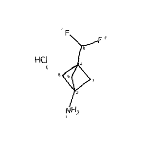 Cl.NC12CC(C(F)F)(C1)C2